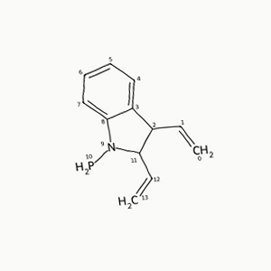 C=CC1c2ccccc2N(P)C1C=C